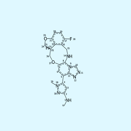 CNc1cc(-c2cc3c(n4cnnc24)NCc2c(F)ccc4c2[C@@H](CO4)CO3)n(C)n1